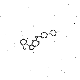 CC(=O)c1ccccc1-c1ccc2cnc(Nc3ccc(N4CCN(C)CC4)cc3)nn12